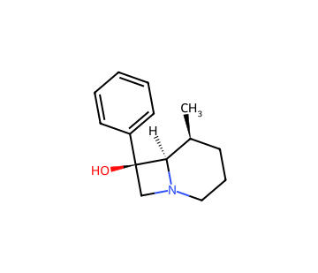 C[C@H]1CCCN2C[C@](O)(c3ccccc3)[C@@H]12